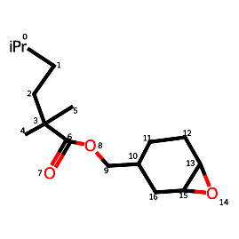 CC(C)CCC(C)(C)C(=O)OCC1CCC2OC2C1